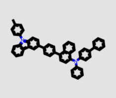 Cc1ccc(-n2c3ccccc3c3cc(-c4ccc(-c5ccc(N(c6ccccc6)c6ccc(-c7ccccc7)cc6)c6ccccc56)cc4)ccc32)cc1